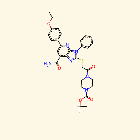 CCOc1ccc(-c2cc(C(N)=O)c3nc(SCC(=O)N4CCN(C(=O)OC(C)(C)C)CC4)n(-c4ccccc4)c3n2)cc1